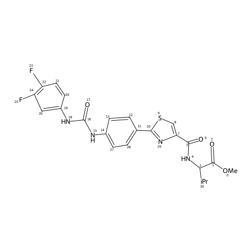 COC(=O)C(NC(=O)c1csc(-c2ccc(NC(=O)Nc3ccc(F)c(F)c3)cc2)n1)C(C)C